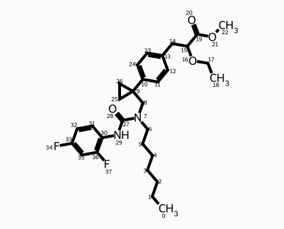 CCCCCCCN(CC1(c2ccc(CC(OCC)C(=O)OC)cc2)CC1)C(=O)Nc1ccc(F)cc1F